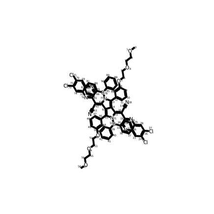 COCCOCCOc1cccc(-c2c3/c(=C(\C#N)c4cnc5cc(Cl)c(Cl)cc5n4)n(B(c4ccccc4)c4ccccc4)c(-c4cccc(OCCOCCOC)c4)c3/c(=C(\C#N)c3cnc4cc(Cl)c(Cl)cc4n3)n2B(c2ccccc2)c2ccccc2)c1